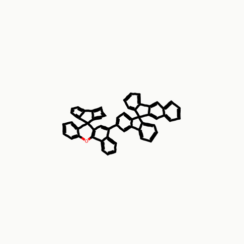 c1ccc2c(c1)Oc1c(cc(-c3ccc4c(c3)-c3ccccc3C43c4ccccc4-c4cc5ccccc5cc43)c3ccccc13)C21c2ccccc2-c2ccccc21